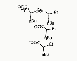 CCCCC(CC)C(=O)[O-].CCCCC(CC)C(=O)[O-].CCCCC(CC)C(=O)[O-].CCCCC(CC)C(=O)[O-].[Hf+4]